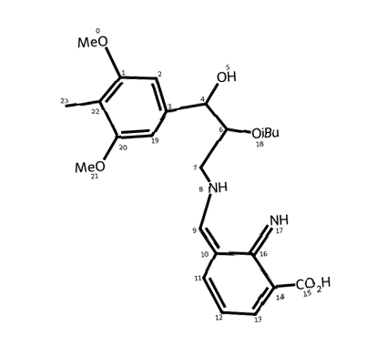 COc1cc(C(O)C(CN/C=C2/C=CC=C(C(=O)O)C2=N)OCC(C)C)cc(OC)c1C